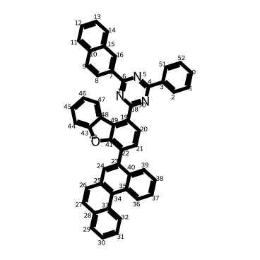 c1ccc(-c2nc(-c3ccc4ccccc4c3)nc(-c3ccc(-c4cc5ccc6ccccc6c5c5ccccc45)c4oc5ccccc5c34)n2)cc1